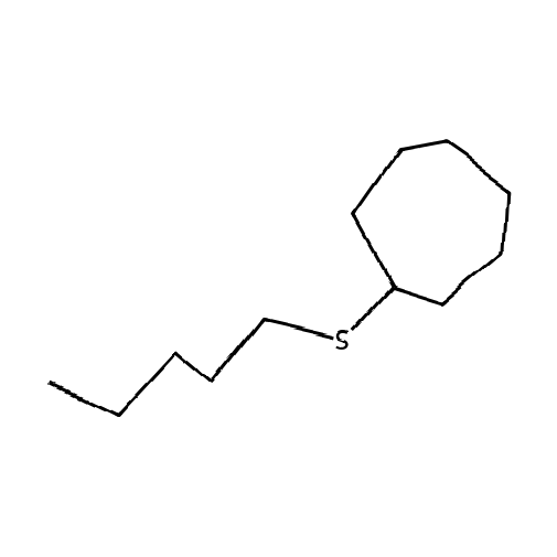 CCCCCSC1CCCCCC1